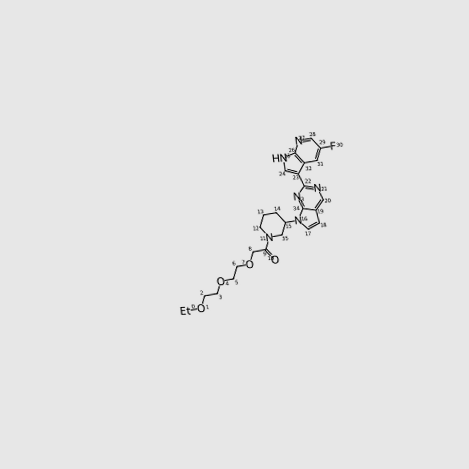 CCOCCOCCOCC(=O)N1CCCC(n2ccc3cnc(-c4c[nH]c5ncc(F)cc45)nc32)C1